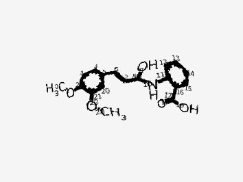 COc1ccc(C=CC(O)Nc2ccccc2C(=O)O)cc1OC